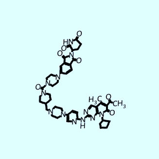 CC(=O)c1c(C)c2cnc(Nc3ccc(N4CCN(CC5CCN(C(=O)N6CCN(c7ccc8c(c7)C(=O)N(C7CCC(=O)NC7=O)C8=O)CC6)CC5)CC4)cn3)nc2n(C2CCCC2)c1=O